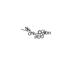 CCCc1cn(CC(=O)N2CC(Oc3ccc4c(c3C(=O)O)OB(O)CC4)C2)cn1